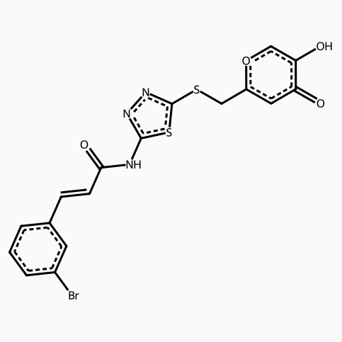 O=C(C=Cc1cccc(Br)c1)Nc1nnc(SCc2cc(=O)c(O)co2)s1